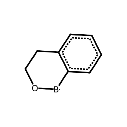 [B]1OCCc2ccccc21